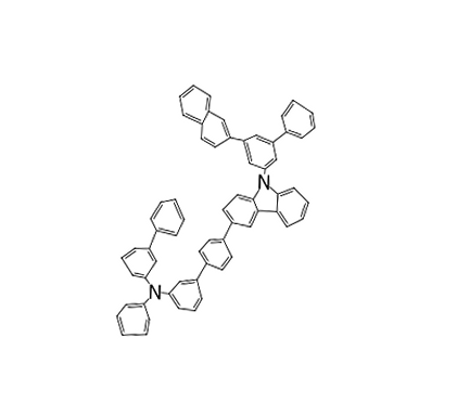 c1ccc(-c2cccc(N(c3ccccc3)c3cccc(-c4ccc(-c5ccc6c(c5)c5ccccc5n6-c5cc(-c6ccccc6)cc(-c6ccc7ccccc7c6)c5)cc4)c3)c2)cc1